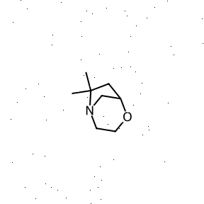 CC1(C)CC2CN1CCO2